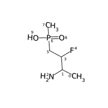 CC(N)C(F)CP(C)(=O)O